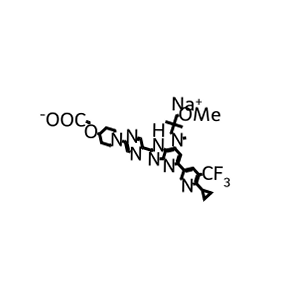 COCC(C)(C)CN(C)c1cc(-c2cnc(C3CC3)c(C(F)(F)F)c2)nc2nc(-c3cnc(N4CCC(OCC(=O)[O-])CC4)cn3)[nH]c12.[Na+]